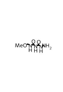 COCNC(=O)NC(=O)NN